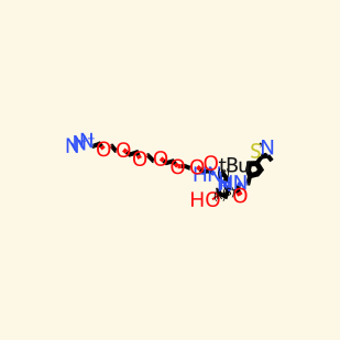 Cc1ncsc1-c1ccc(CNC(=O)[C@@H]2C[C@@H](O)CN2C[C@@H](NC(=O)COCCOCCOCCOCCOCCOCCN=[N+]=[N-])C(C)(C)C)cc1